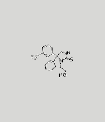 OCCN1C(=S)NCC1(c1ccccc1)c1cccc(C(F)(F)F)c1